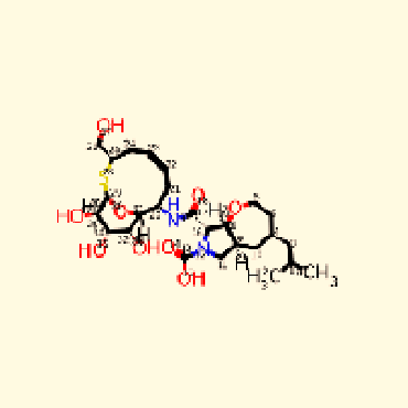 CC(C)C[C@@H]1CCO[C@@H]2[C@@H](C1)CN(C(=O)O)[C@@H]2C(=O)N[C@@H]1C/C=C\C[C@H](CO)S[C@H]2O[C@H]1[C@H](O)[C@H](O)[C@H]2O